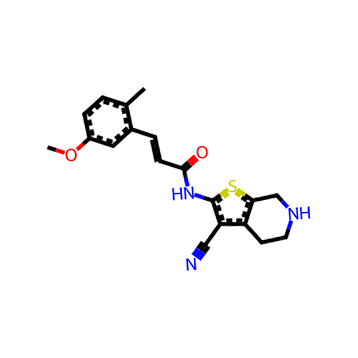 COc1ccc(C)c(C=CC(=O)Nc2sc3c(c2C#N)CCNC3)c1